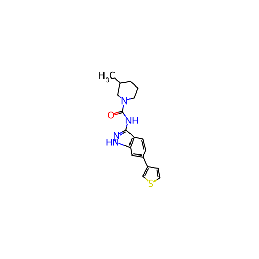 CC1CCCN(C(=O)Nc2n[nH]c3cc(-c4ccsc4)ccc23)C1